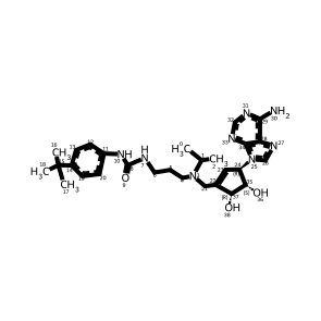 CC(C)N(CCCNC(=O)Nc1ccc(C(C)(C)C)cc1)CC1=C[C@@H](n2cnc3c(N)ncnc32)[C@H](O)[C@@H]1O